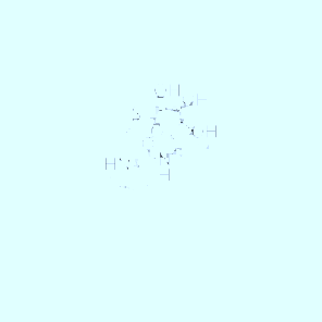 CCCCC1=CCN[C@H](C(=O)N[C@H](C(C)C)C2O[C@H](SC)[C@H](O)[C@@H](O)[C@H]2O)C1